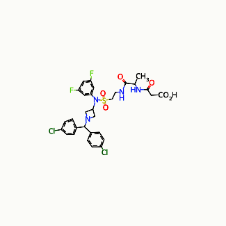 CC(NC(=O)CC(=O)O)C(=O)NCCS(=O)(=O)N(c1cc(F)cc(F)c1)C1CN(C(c2ccc(Cl)cc2)c2ccc(Cl)cc2)C1